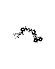 COC(CNC(=O)c1cccc(C(=O)CNCCN2CCC(OC(=O)Nc3ccccc3-c3ccccc3)CC2)c1)OC